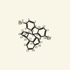 Brc1ccc2c(c1)C1(c3cc(Br)ccc3-2)c2ccccc2-c2cccc3cccc1c23